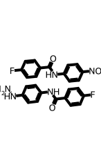 NNc1ccc(NC(=O)c2ccc(F)cc2)cc1.O=C(Nc1ccc([N+](=O)[O-])cc1)c1ccc(F)cc1